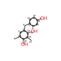 Cc1cc(Cc2ccc(O)cc2)c(O)c(C)c1O